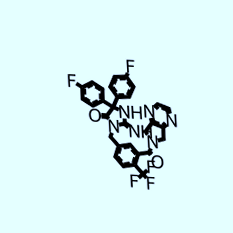 N=C1NC(c2ccc(F)cc2)(c2ccc(F)cc2)C(=O)N1Cc1ccc(C(F)(F)F)c(C(=O)N2Cc3nccnc3C2)c1